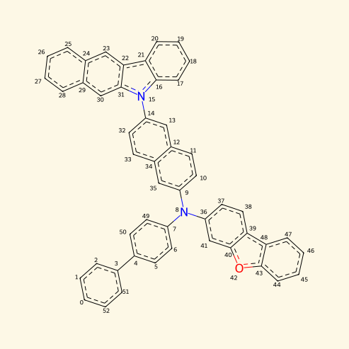 c1ccc(-c2ccc(N(c3ccc4cc(-n5c6ccccc6c6cc7ccccc7cc65)ccc4c3)c3ccc4c(c3)oc3ccccc34)cc2)cc1